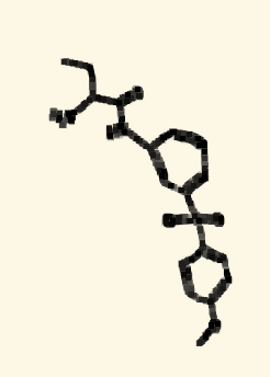 CCC(N)C(=O)Nc1cccc(S(=O)(=O)c2ccc(OC)cc2)c1